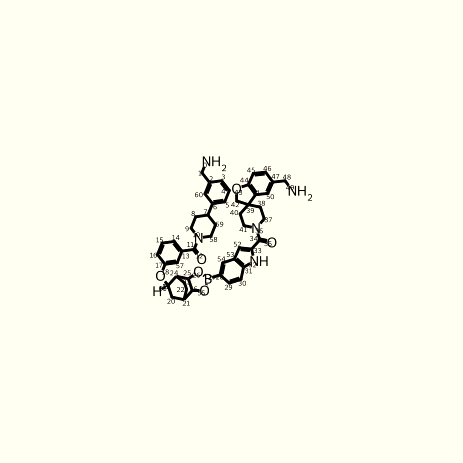 NCc1cccc(C2CCN(C(=O)c3cccc(O[C@H]4CC5CCC4C4OB(c6ccc7[nH]c(C(=O)N8CCC9(CC8)COc8ccc(CN)cc89)cc7c6)OC54)c3)CC2)c1